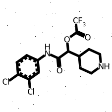 O=C(Nc1ccc(Cl)c(Cl)c1)C(OC(=O)C(F)(F)F)C1CCNCC1